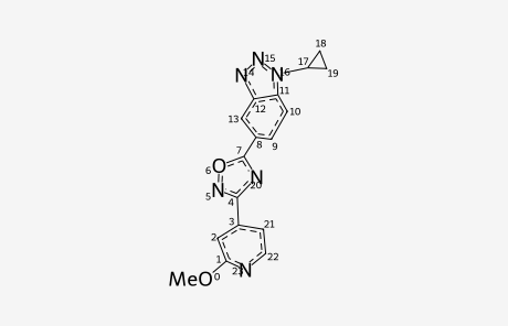 COc1cc(-c2noc(-c3ccc4c(c3)nnn4C3CC3)n2)ccn1